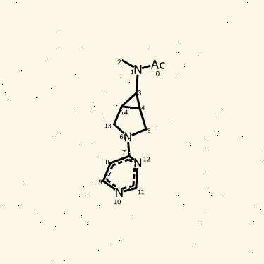 CC(=O)N(C)C1C2CN(c3ccncn3)CC21